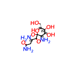 NC(=O)C[C@H](N)C(=O)C1(O)O[C@H](CO)[C@@H](O)[C@H](O)[C@H]1N